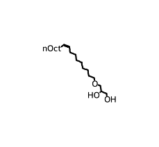 CCCCCCCC/C=C\CCCCCCCCOC[C@H](O)CO